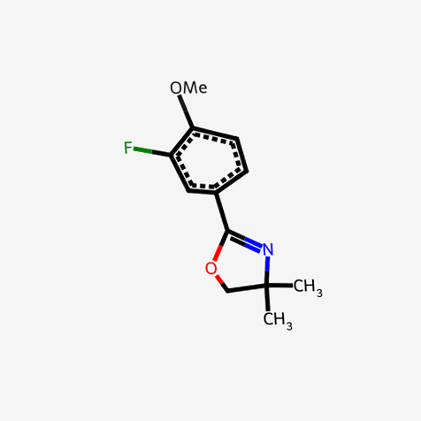 COc1ccc(C2=NC(C)(C)CO2)cc1F